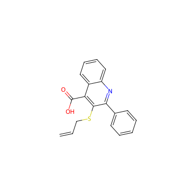 C=CCSc1c(-c2ccccc2)nc2ccccc2c1C(=O)O